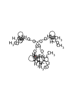 CCC[C@H]1Cc2ccc(OC)cc2[C@@](C)(CCC)[C@H]1NCCOCCOCC(COCCOCCN[C@H]1[C@H]2CCCCC[C@]1(C)c1cc(OC)ccc1C2)(COCCOCCN[C@H]1[C@H]2CCCCC[C@]1(C)c1cc(OC)ccc1C2)COCCOCCN[C@H]1[C@H]2CCCCC[C@]1(C)c1cc(OC)ccc1C2